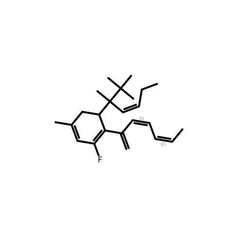 C=C(/C=C\C=C/C)C1=C(F)C=C(C)CC1C(C)(C=CCC)C(C)(C)C